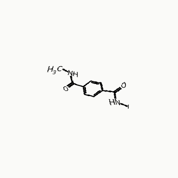 CNC(=O)c1ccc(C(=O)NI)cc1